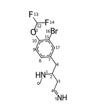 CNC(CC=N)Cc1ccc(OC(F)F)c(Br)c1